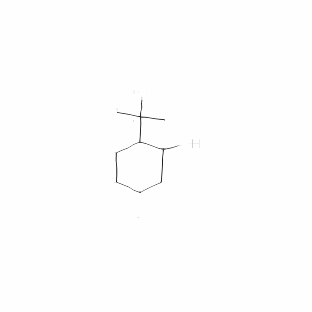 C[C@@H]1CCC(C(C)(C)O)C(O)C1